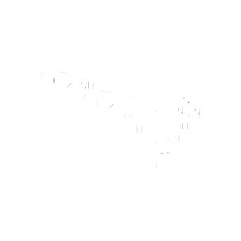 CC(SC1COC(c2ccc(C(=O)Nc3ccc(F)cc3)cc2)OC1)C(O)(Cn1cncn1)c1ccc(F)cc1F